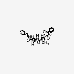 Cn1cc(NC(=O)c2sc3ccccc3c2Cl)cc1C(=O)Nc1c[nH]c(C(=O)NCCN2CCSCC2)c1